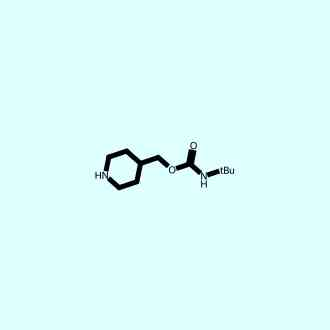 CC(C)(C)NC(=O)OCC1CCNCC1